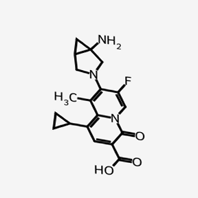 Cc1c(N2CC3CC3(N)C2)c(F)cn2c(=O)c(C(=O)O)cc(C3CC3)c12